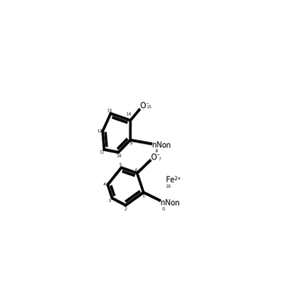 CCCCCCCCCc1ccccc1[O-].CCCCCCCCCc1ccccc1[O-].[Fe+2]